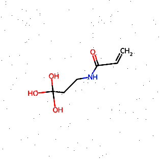 C=CC(=O)NCCC(O)(O)O